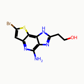 Nc1nc2cc(Br)sc2c2[nH]c(CCO)nc12